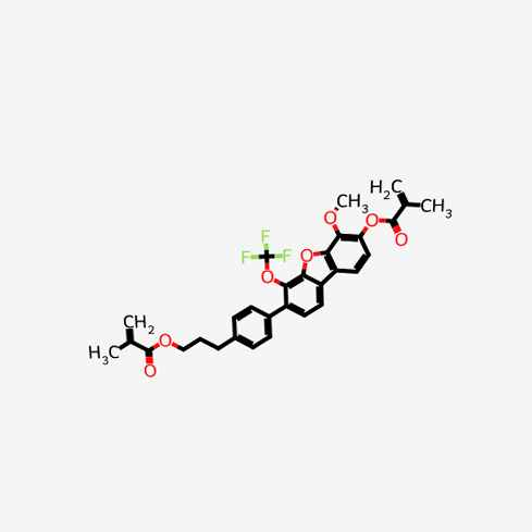 C=C(C)C(=O)OCCCc1ccc(-c2ccc3c(oc4c(OC)c(OC(=O)C(=C)C)ccc43)c2OC(F)(F)F)cc1